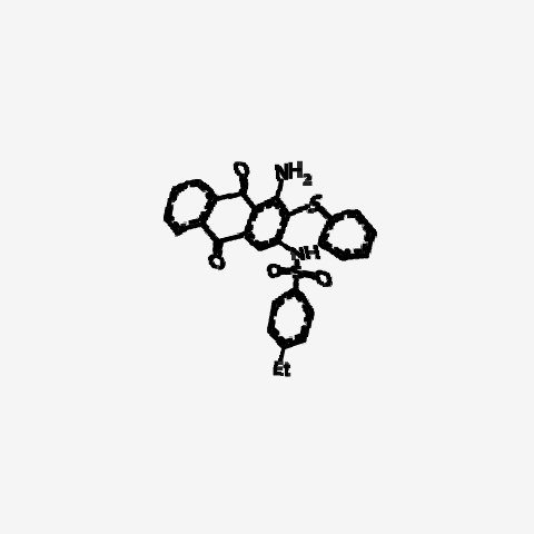 CCc1ccc(S(=O)(=O)Nc2cc3c(c(N)c2Sc2ccccc2)C(=O)c2ccccc2C3=O)cc1